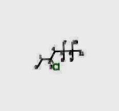 CCC(Cl)CC(C)(C)C(C)(C)C